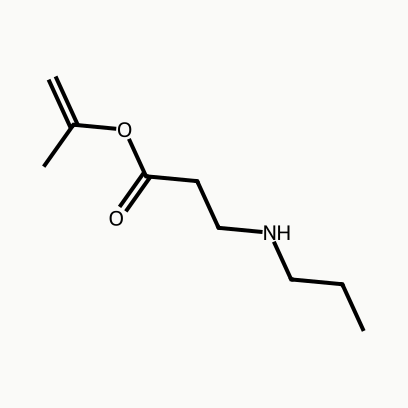 C=C(C)OC(=O)CCNCCC